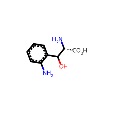 Nc1ccccc1C(O)[C@H](N)C(=O)O